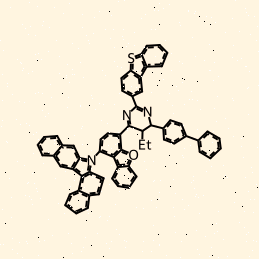 CCC1C(c2ccc(-n3c4cc5ccccc5cc4c4c5ccccc5ccc43)c3c2oc2ccccc23)=NC(c2ccc3sc4ccccc4c3c2)=NC1c1ccc(-c2ccccc2)cc1